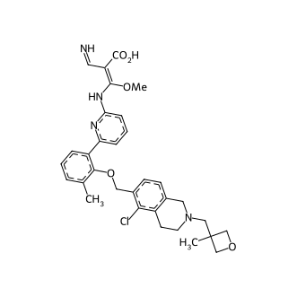 CO/C(Nc1cccc(-c2cccc(C)c2OCc2ccc3c(c2Cl)CCN(CC2(C)COC2)C3)n1)=C(/C=N)C(=O)O